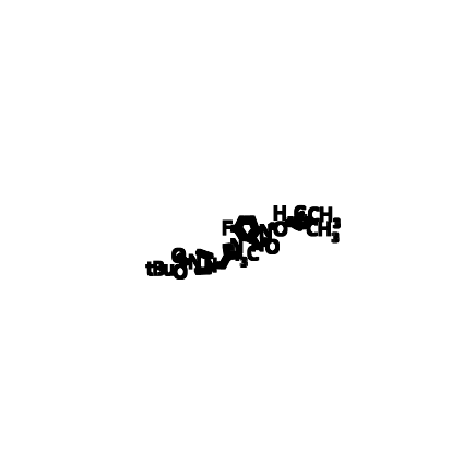 Cn1c(=O)n(COCC[Si](C)(C)C)c2ccc(F)c(N3CC(CN4CCN(C(=O)OC(C)(C)C)CC4)C3)c21